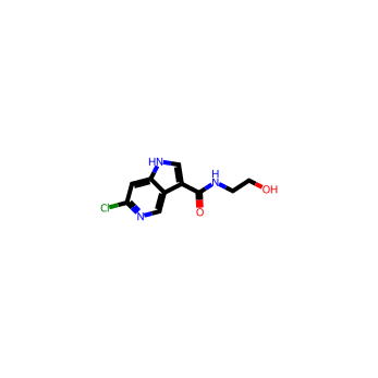 O=C(NCCO)c1c[nH]c2cc(Cl)ncc12